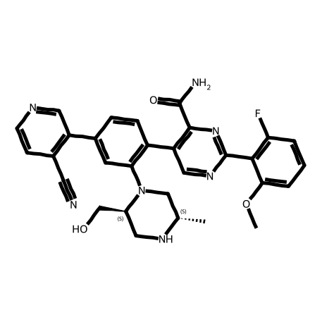 COc1cccc(F)c1-c1ncc(-c2ccc(-c3cnccc3C#N)cc2N2C[C@H](C)NC[C@H]2CO)c(C(N)=O)n1